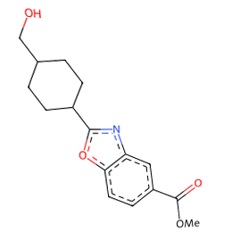 COC(=O)c1ccc2oc(C3CCC(CO)CC3)nc2c1